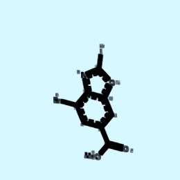 COC(=O)c1cc(Br)c2nc(I)oc2c1